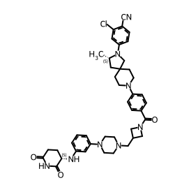 C[C@H]1CC2(CCN(c3ccc(C(=O)N4CC(CN5CCN(c6cccc(N[C@H]7CCC(=O)NC7=O)c6)CC5)C4)cc3)CC2)CN1c1ccc(C#N)c(Cl)c1